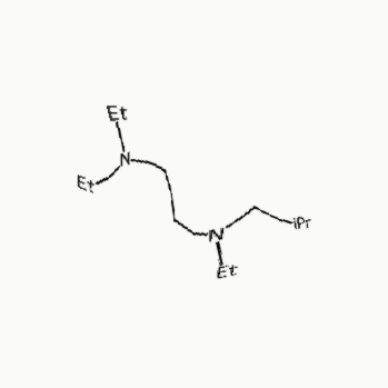 CCN(CC)CCN(CC)CC(C)C